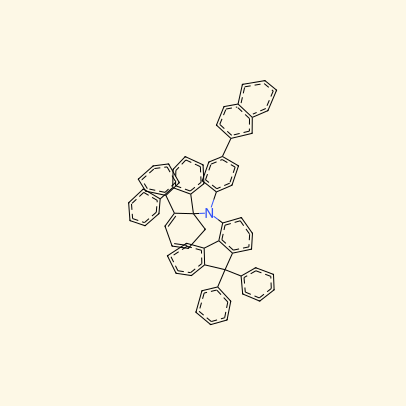 C1=CCC(c2ccccc2-c2ccccc2)(N(c2ccc(-c3ccc4ccccc4c3)cc2)c2cccc3c2-c2ccccc2C3(c2ccccc2)c2ccccc2)C(c2ccccc2)=C1